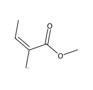 [CH2]/C(=C/C)C(=O)OC